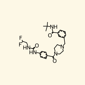 CC(C)(C)NC(=O)c1cccc(CN2CCN(C(=O)c3ccc(NC(=O)NCC(F)F)cc3)CC2)c1